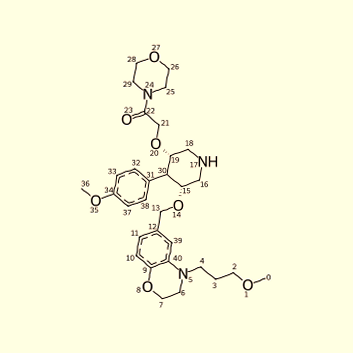 COCCCN1CCOc2ccc(CO[C@H]3CNC[C@@H](OCC(=O)N4CCOCC4)C3c3ccc(OC)cc3)cc21